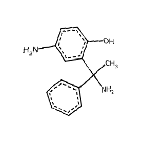 CC(N)(c1ccccc1)c1cc(N)ccc1O